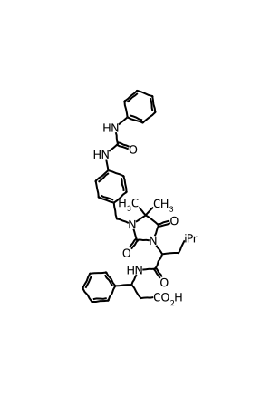 CC(C)CC(C(=O)NC(CC(=O)O)c1ccccc1)N1C(=O)N(Cc2ccc(NC(=O)Nc3ccccc3)cc2)C(C)(C)C1=O